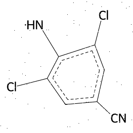 N#Cc1cc(Cl)c([NH])c(Cl)c1